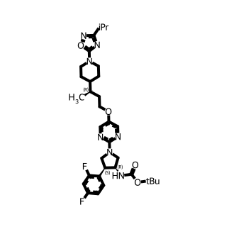 CC(C)c1noc(N2CCC([C@H](C)CCOc3cnc(N4C[C@H](NC(=O)OC(C)(C)C)[C@@H](c5ccc(F)cc5F)C4)nc3)CC2)n1